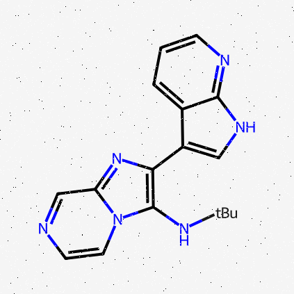 CC(C)(C)Nc1c(-c2c[nH]c3ncccc23)nc2cnccn12